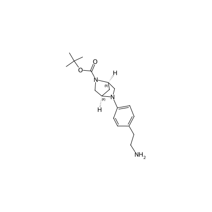 CC(C)(C)OC(=O)N1C[C@H]2C[C@@H]1CN2c1ccc(CCN)cc1